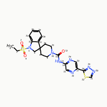 CCS(=O)(=O)N1CC2(CCN(C(=O)Nc3cnc(-c4nncs4)cn3)CC2)c2ccccc21